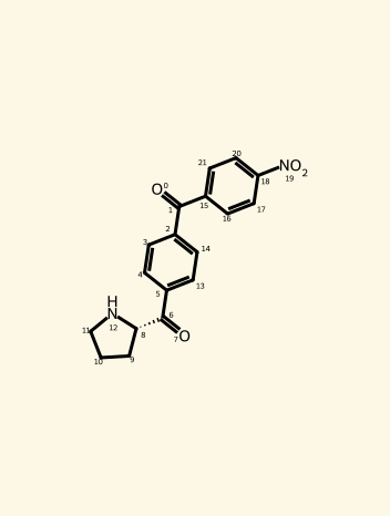 O=C(c1ccc(C(=O)[C@@H]2CCCN2)cc1)c1ccc([N+](=O)[O-])cc1